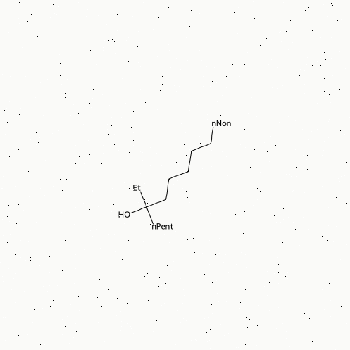 CCCCCCCCCCCCCCC(O)(CC)CCCCC